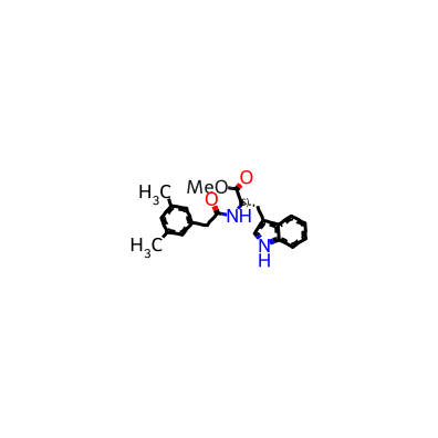 COC(=O)[C@H](Cc1c[nH]c2ccccc12)NC(=O)Cc1cc(C)cc(C)c1